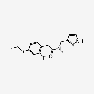 CCOc1ccc(CC(=O)N(C)Cc2cc[nH]n2)c(F)c1